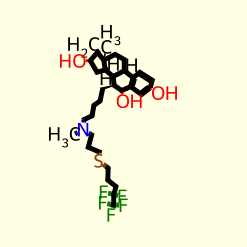 C=C1[C@H](O)C[C@H]2[C@@H]3[C@H](CCCCCN(C)CCCSCCCC(F)(F)C(F)(F)F)[C@H](O)c4cc(O)ccc4[C@H]3CC[C@]12C